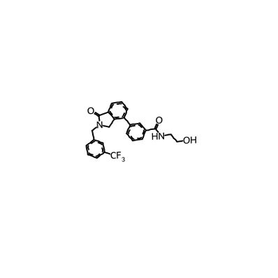 O=C(NCCO)c1cccc(-c2cccc3c2CN(Cc2cccc(C(F)(F)F)c2)C3=O)c1